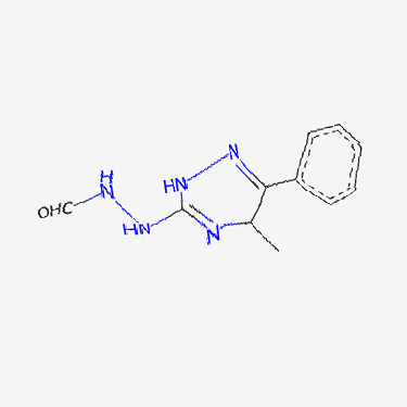 CC1N=C(NNC=O)NN=C1c1ccccc1